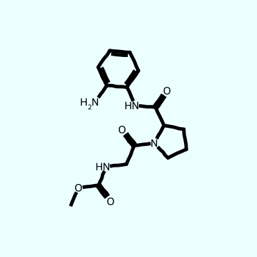 COC(=O)NCC(=O)N1CCCC1C(=O)Nc1ccccc1N